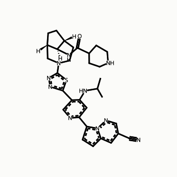 CC(C)Nc1cc(-c2ccc3cc(C#N)cnn23)ncc1-c1nnc(N2CC[C@H]3CC[C@@H](C2)[C@@H]3NC(=O)C2CCNCC2)s1